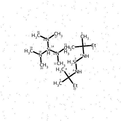 CCC(C)(C)N[SiH2]NC(C)(C)CC.CN(C)[SiH](N(C)C)N(C)C